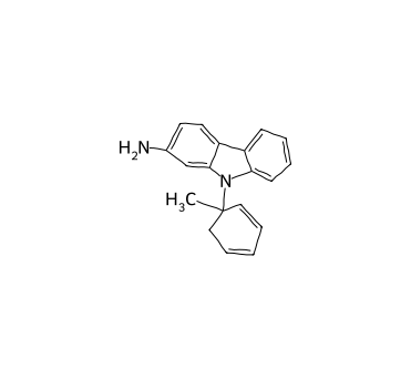 CC1(n2c3ccccc3c3ccc(N)cc32)C=CC=CC1